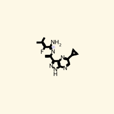 C=C(/N=C(/N)C(F)=C(C)C)c1n[nH]c2ncc(C3CC3)nc12